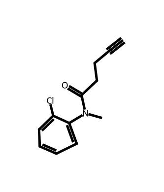 C#CCCC(=O)N(C)c1ccccc1Cl